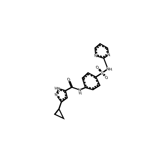 O=C(Nc1ccc(S(=O)(=O)Nc2ncccn2)cc1)c1cc(C2CC2)n[nH]1